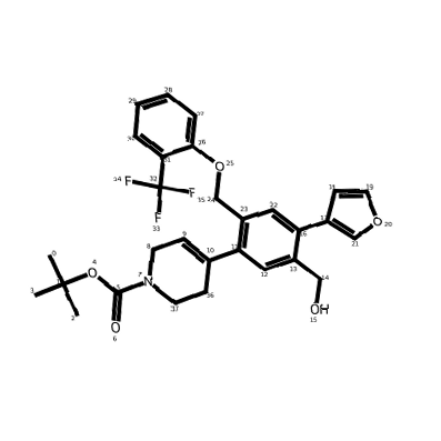 CC(C)(C)OC(=O)N1CC=C(c2cc(CO)c(-c3ccoc3)cc2COc2ccccc2C(F)(F)F)CC1